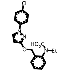 CCN(C(=O)O)c1ccccc1COc1ccn(-c2ccc(Cl)cc2)n1